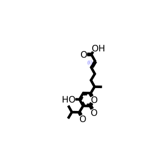 CC(C)C(=O)c1c(O)cc(C(C)CC/C=C/C(=O)O)oc1=O